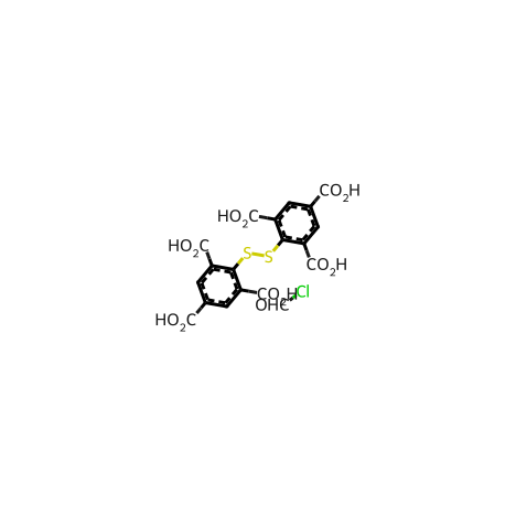 O=C(O)c1cc(C(=O)O)c(SSc2c(C(=O)O)cc(C(=O)O)cc2C(=O)O)c(C(=O)O)c1.O=CCl